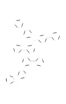 c1ccc(-c2ccc(N(c3ccc(-c4ccccc4)cc3)c3ccc(-c4ccc(-c5ccc6oc7ccccc7c6c5)c5oc6ccccc6c45)c4c3oc3ccccc34)cc2)cc1